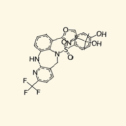 CC(C)(O)c1coc(-c2cccc3c2N(S(=O)(=O)c2ccc(O)cc2)Cc2ccc(C(F)(F)F)nc2N3)n1